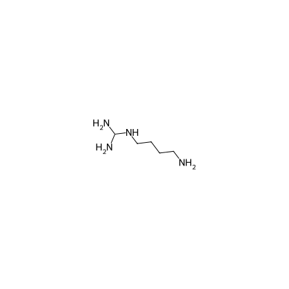 NCCCCNC(N)N